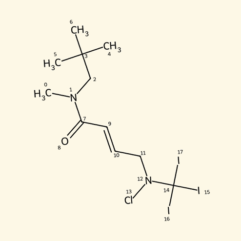 CN(CC(C)(C)C)C(=O)/C=C/CN(Cl)C(I)(I)I